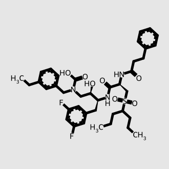 CCCC(CCC)S(=O)(=O)C[C@H](NC(=O)CCc1ccccc1)C(=O)N[C@@H](Cc1cc(F)cc(F)c1)[C@H](O)CN(Cc1cccc(CC)c1)C(=O)O